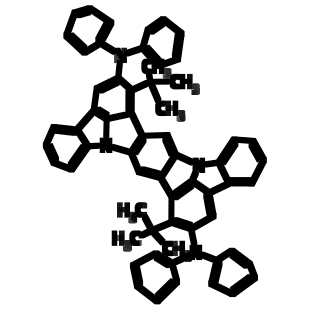 CC(C)(C)c1c(N(c2ccccc2)c2ccccc2)cc2c3ccccc3n3c4cc5c6c(C(C)(C)C)c(N(c7ccccc7)c7ccccc7)cc7c8ccccc8n(c5cc4c1c23)c76